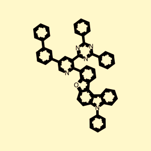 c1ccc(-c2cccc(-c3cnc(-c4cccc5c4oc4ccc6c(c7ccccc7n6-c6ccccc6)c45)c(-c4nc(-c5ccccc5)nc(-c5ccccc5)n4)c3)c2)cc1